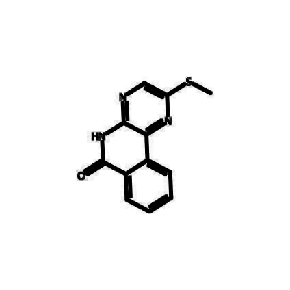 CSc1cnc2[nH]c(=O)c3ccccc3c2n1